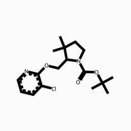 CC(C)(C)OC(=O)N1CCC(C)(C)C1COc1ncccc1Cl